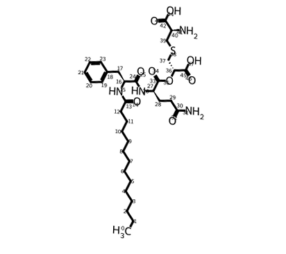 CCCCCCCCCCCCCC(=O)N[C@@H](Cc1ccccc1)C(=O)N[C@H](CCC(N)=O)C(=O)O[C@H](CSC[C@H](N)C(=O)O)C(=O)O